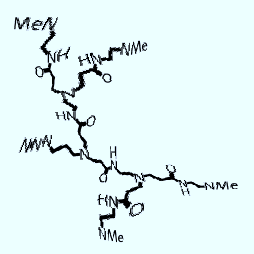 CNCCNC(=O)CCN(CCNC(=O)CCN(CCCN=[N+]=[N-])CCC(=O)NCCN(CCC(=O)NCCNC)CCC(=O)NCCNC)CCC(=O)NCCNC